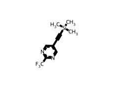 C[Si](C)(C)C#Cc1cnc(C(F)(F)F)nc1